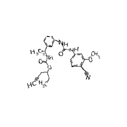 C#CCC(CC)OC(=O)N[C@@H](C)c1cccc(NC(=O)Nc2ccc(C#N)c(OC)c2)c1